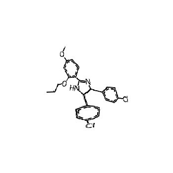 CCCOc1cc(OC)ccc1C1=NC(c2ccc(Cl)cc2)C(c2ccc(Cl)cc2)N1